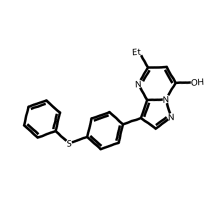 CCc1cc(O)n2ncc(-c3ccc(Sc4ccccc4)cc3)c2n1